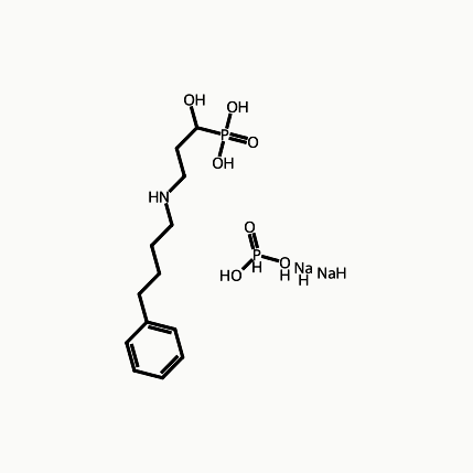 O=P(O)(O)C(O)CCNCCCCc1ccccc1.O=[PH](O)O.[NaH].[NaH]